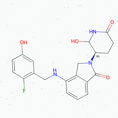 O=C1CC[C@@H](N2Cc3c(NCc4cc(O)ccc4F)cccc3C2=O)C(O)N1